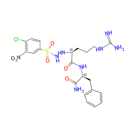 N=C(N)NCCC[C@H](NNS(=O)(=O)c1ccc(Cl)c([N+](=O)[O-])c1)C(=O)N[C@@H](Cc1ccccc1)C(N)=O